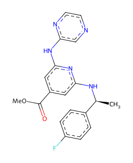 COC(=O)c1cc(Nc2cnccn2)nc(N[C@@H](C)c2ccc(F)cc2)c1